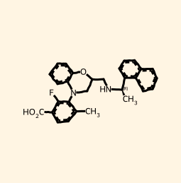 Cc1ccc(C(=O)O)c(F)c1N1CC(CN[C@H](C)c2cccc3ccccc23)Oc2ccccc21